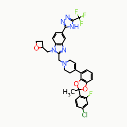 CC1(c2ccc(Cl)cc2F)Oc2cccc(C3=CCN(Cc4nc5cc(-c6nnc(C(F)(F)F)[nH]6)ccc5n4CC4CCO4)CC3)c2O1